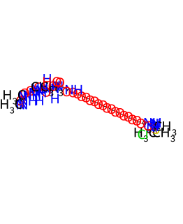 Cc1sc2c(c1C)C(c1ccc(Cl)cc1)=N[C@@H](CC(=O)Nc1ccc(OCCOCCOCCOCCOCCOCCOCCOCCOCCOCCOCCOCCOCCOCCOCCOCCOCCNC(=O)CCCCCn3cc(NC(=O)CCCNC(=O)c4cc(NC(=O)c5nc(NC(=O)CCNC(=O)c6cc(NC(=O)c7nccn7C)cn6C)cn5C)cn4C)nc3C(=O)O)cc1)c1nnc(C)n1-2